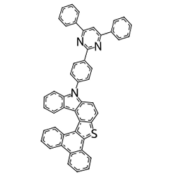 c1ccc(-c2cc(-c3ccccc3)nc(-c3ccc(-n4c5ccccc5c5c6c(ccc54)sc4c5ccccc5c5ccccc5c46)cc3)n2)cc1